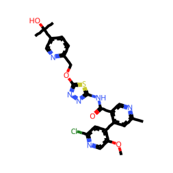 COc1cnc(Cl)cc1-c1cc(C)ncc1C(=O)Nc1nnc(OCc2ccc(C(C)(C)O)cn2)s1